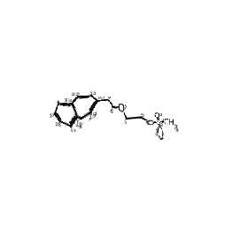 CS(=O)(=O)OCCOCCc1ccc2ccccc2c1